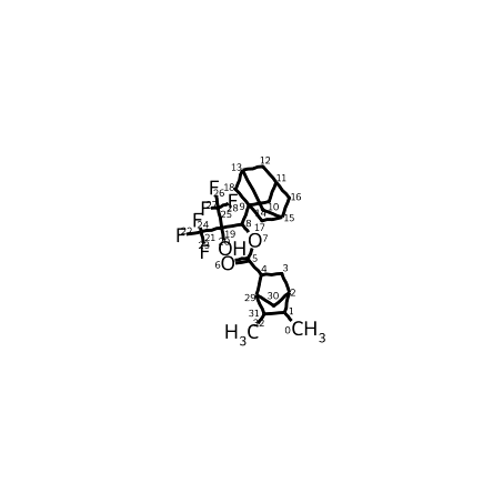 CC1C2CC(C(=O)OC(C34CC5CC(CC(C5)C3)C4)C(O)(C(F)(F)F)C(F)(F)F)C(C2)C1C